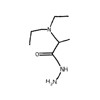 CCN(CC)C(C)C(=O)NN